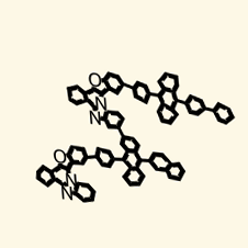 c1ccc(-c2ccc(-c3c4ccccc4c(-c4ccc(-c5ccc6oc7c8ccccc8c8nc9cc(-c%10ccc%11c(-c%12ccc%13ccccc%13c%12)c%12ccccc%12c(-c%12ccc(-c%13ccc%14oc%15c%16ccccc%16c%16nc%17ccccc%17n%16c%15c%14c%13)cc%12)c%11c%10)ccc9n8c7c6c5)cc4)c4ccccc34)cc2)cc1